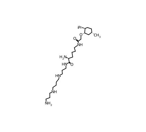 CC(C)[C@H]1CC[C@H](C)C[C@@H]1OCC(=O)NCCCC[C@H](N)C(=O)NCCCNCCCCNCCCN